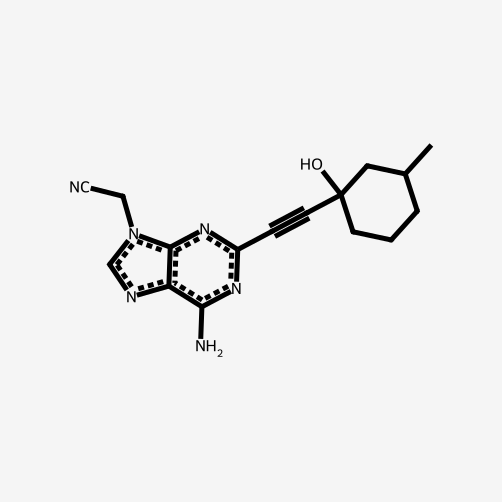 CC1CCCC(O)(C#Cc2nc(N)c3ncn(CC#N)c3n2)C1